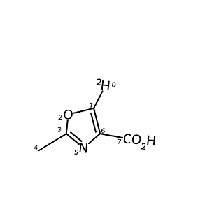 [2H]c1oc(C)nc1C(=O)O